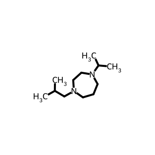 CC(C)CN1CCCN(C(C)C)CC1